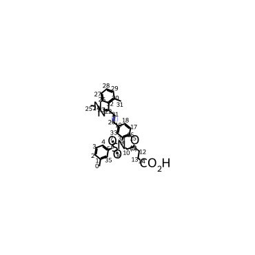 Cc1cccc(S(=O)(=O)N2C[C@H](CCC(=O)O)Oc3ccc(/C=C/c4nn(C)c5cccc(C)c45)cc32)c1